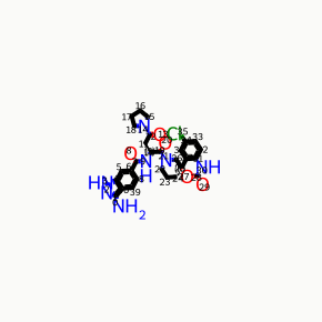 Nc1n[nH]c2cc(C(=O)N[C@@H](CC(=O)N3CCCC3)C(=O)N3CCC[C@@]4(C3)OC(=O)Nc3ccc(Cl)cc34)ccc12